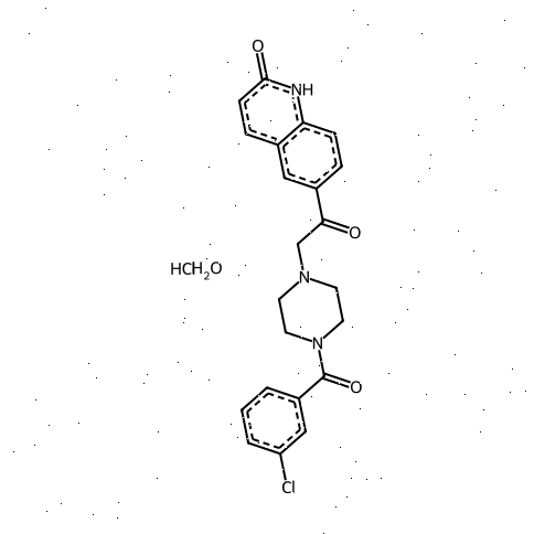 Cl.O.O=C(CN1CCN(C(=O)c2cccc(Cl)c2)CC1)c1ccc2[nH]c(=O)ccc2c1